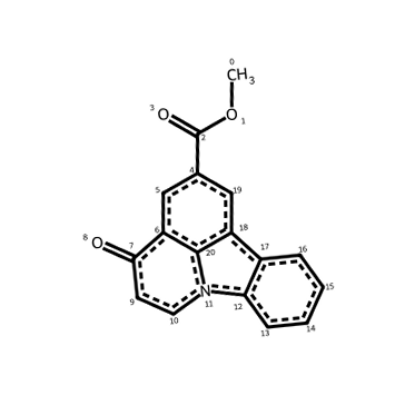 COC(=O)c1cc2c(=O)ccn3c4ccccc4c(c1)c23